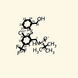 CC(C)(C)[S+]([O-])NCc1cc(C(F)(F)F)cc(Cl)c1Sc1ccccc1CO